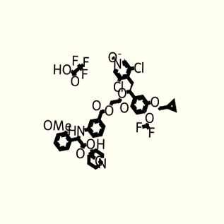 COc1ccccc1C(Nc1cccc(C(=O)OCC(=O)O[C@@H](Cc2c(Cl)c[n+]([O-])cc2Cl)c2ccc(OC(F)F)c(OCC3CC3)c2)c1)C(=O)O[C@H]1CN2CCC1CC2.O=C(O)C(F)(F)F